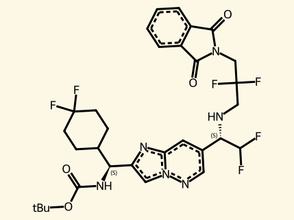 CC(C)(C)OC(=O)N[C@H](c1cn2ncc([C@H](NCC(F)(F)CN3C(=O)c4ccccc4C3=O)C(F)F)cc2n1)C1CCC(F)(F)CC1